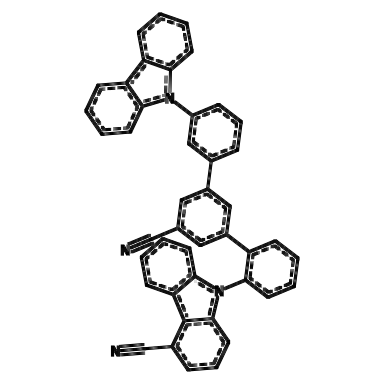 N#Cc1cc(-c2cccc(-n3c4ccccc4c4ccccc43)c2)cc(-c2ccccc2-n2c3ccccc3c3c(C#N)cccc32)c1